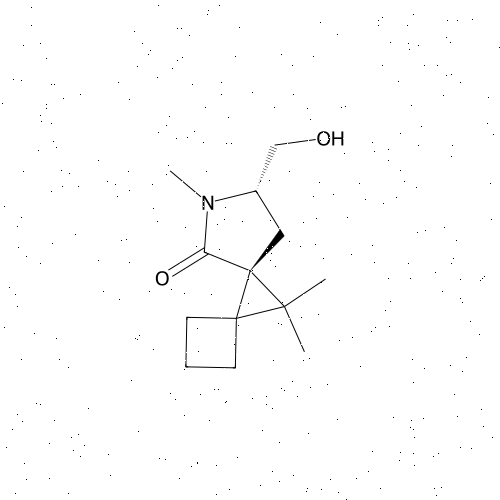 CN1C(=O)[C@]2(C[C@H]1CO)C(C)(C)C21CCC1